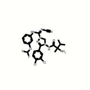 CC(C)C(C)(N)C(=O)NN1CN(/C(=N\C#N)Nc2cccc(OC(F)F)c2)N=C1c1ccc(Cl)c(Cl)c1